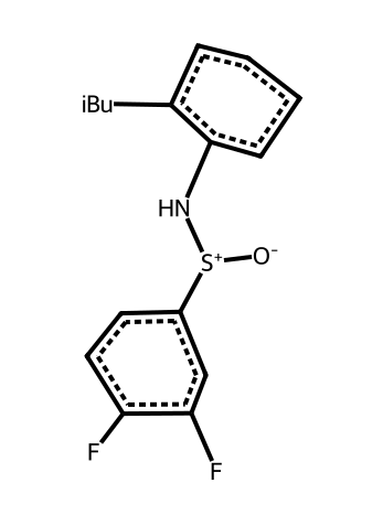 CCC(C)c1ccccc1N[S+]([O-])c1ccc(F)c(F)c1